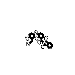 COc1ccc2c(c1CC#N)Oc1c(ccc(OC)c1C(=O)N1Cc3ccccc3C1=O)N2C